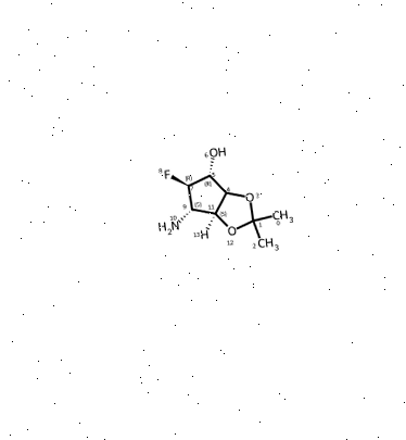 CC1(C)OC2[C@@H](O)[C@H](F)[C@@H](N)[C@@H]2O1